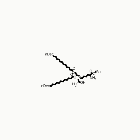 [CH2]C(O)CN(CCCCC(N)C(=O)OC(C)(C)C)CC(COC(=O)CCCCCCCCCCCCCCCCCCCCC)OC(=O)CCCCCCCCCCCCCCCCCCCCC